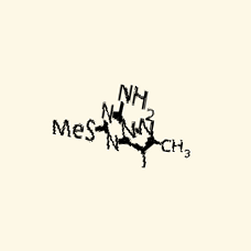 CSc1nc(N)n2nc(C)c(I)c2n1